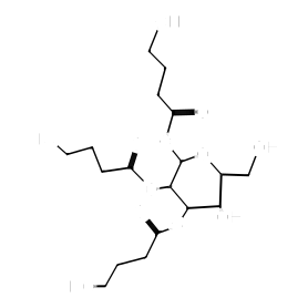 O=C(CCCO)OC1OC(CO)C(O)C(OC(=O)CCCO)C1OC(=O)CCCO